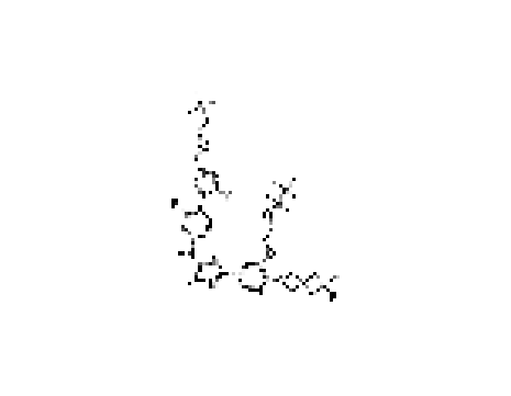 Cn1nc(-c2cnc(N3CC4(C3)CC(F)(F)C4)c(OCCO[Si](C)(C)C(C)(C)C)c2)nc1Nc1ccc(-c2cn(COCC[Si](C)(C)C)nc2F)c(F)c1